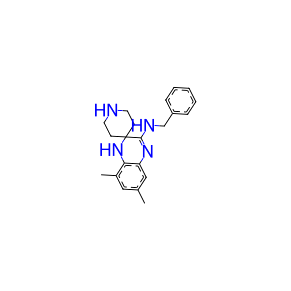 Cc1cc(C)c2c(c1)N=C(NCc1ccccc1)C1(CCNCC1)N2